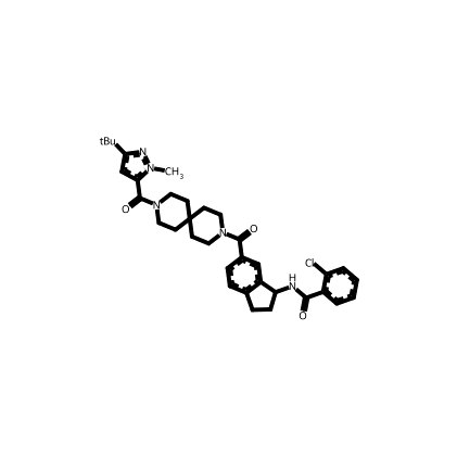 Cn1nc(C(C)(C)C)cc1C(=O)N1CCC2(CCN(C(=O)c3ccc4c(c3)C(NC(=O)c3ccccc3Cl)CC4)CC2)CC1